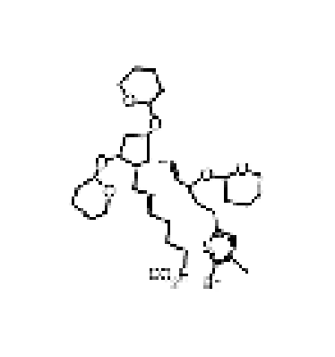 Cc1cc(CCC(C=C[C@@H]2[C@@H](CC=CCCCC(=O)O)[C@@H](OC3CCCCO3)C[C@H]2OC2CCCCO2)OC2CCCCO2)sc1Br